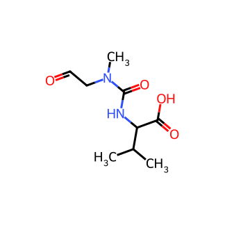 CC(C)C(NC(=O)N(C)CC=O)C(=O)O